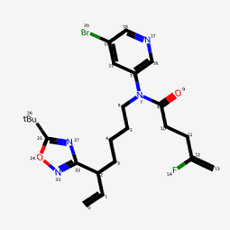 C=CC(CCCCN(C(=O)CCC(=C)F)c1cncc(Br)c1)c1noc(C(C)(C)C)n1